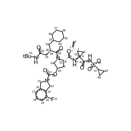 C=C[C@@H]1C[C@]1(NC(=O)[C@@H]1CC(OC(=O)N2Cc3cccc(F)c3C2)CN1C(=O)[C@@H](CC(=O)NC(C)(C)C)CC1CCCCC1)C(=O)NS(=O)(=O)C1CC1